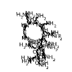 NCCCC[C@@H]1NC(=O)[C@H](CCCN=C(N)N)NC(=O)CCCCC(=O)NCCCCCCN(CC(=O)N[C@@H](CCCN=C(N)N)C(=O)N[C@@H](CCCN=C(N)N)C(=O)N[C@@H](CCCN=C(N)N)C(=O)N[C@@H](CS)C(N)=O)C(=O)[C@H](CCCN=C(N)N)NC(=O)[C@H](CCCN=C(N)N)NC(=O)[C@H](CCCCN)NC1=O